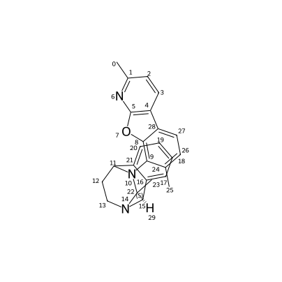 Cc1ccc2c(n1)oc1c(N3C4CCN(Cc5ccccc54)[C@@H]3C)c(C)ccc12